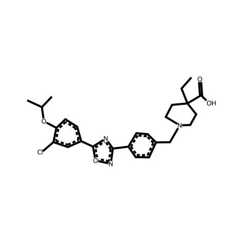 CCC1(C(=O)O)CCN(Cc2ccc(-c3noc(-c4ccc(OC(C)C)c(Cl)c4)n3)cc2)CC1